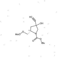 C#CC1(O)C[C@@H](COOC)N(C(=O)OC(C)(C)C)C1